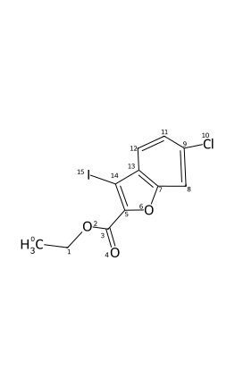 CCOC(=O)c1oc2cc(Cl)ccc2c1I